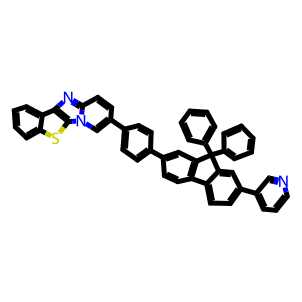 c1ccc(C2(c3ccccc3)c3cc(-c4ccc(-c5ccc6nc7c8ccccc8sc7n6c5)cc4)ccc3-c3ccc(-c4cccnc4)cc32)cc1